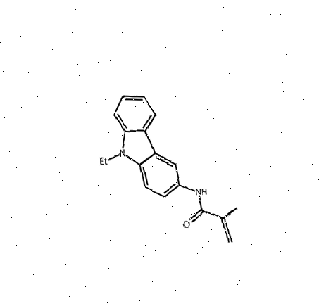 C=C(C)C(=O)Nc1ccc2c(c1)c1ccccc1n2CC